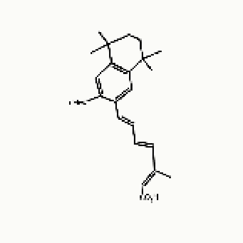 CCCCCCc1cc2c(cc1C=CC=CC(C)=CC(=O)O)C(C)(C)CCC2(C)C